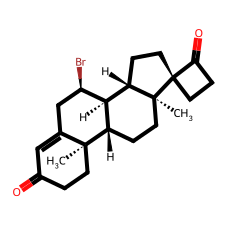 C[C@]12CCC(=O)C=C1C[C@@H](Br)[C@@H]1[C@@H]2CC[C@@]2(C)[C@H]1CC[C@@]21CCC1=O